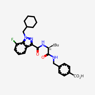 CC(C)(C)[C@H](NC(=O)c1nn(CC2CCCCC2)c2c(F)cccc12)C(=O)NCc1ccc(C(=O)O)cc1